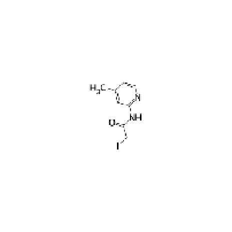 Cc1ccnc(NC(=O)CI)c1